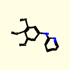 COc1cc(Nc2ccccn2)cc(OC)c1OC